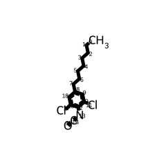 CCCCCCCCc1cc(Cl)c(N=C=O)c(Cl)c1